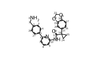 NCc1ccc(-c2cccc(NC(=O)C3(c4ccc5c(c4)OCO5)CC3)n2)cc1